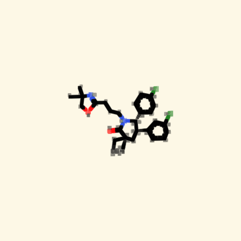 CC1(C)COC(CCCN2C(=O)[C@@](C)(CC(=O)O)C[C@H](c3cccc(Cl)c3)[C@H]2c2ccc(Cl)cc2)=N1